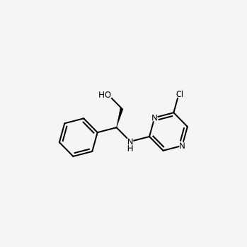 OC[C@@H](Nc1cncc(Cl)n1)c1ccccc1